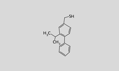 CC(C)c1cc(CS)ccc1-c1ccccc1